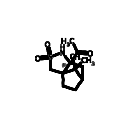 CC(=O)[C@@]12CC3CCC1(CS(=O)(=O)N2)C3(C)C